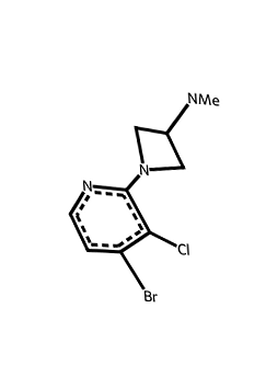 CNC1CN(c2nccc(Br)c2Cl)C1